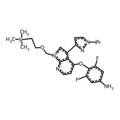 CC(C)n1ccc(-c2cn(COCC[Si](C)(C)C)c3nccc(Oc4c(F)cc(N)cc4F)c23)n1